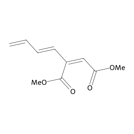 C=CC=CC(=CC(=O)OC)C(=O)OC